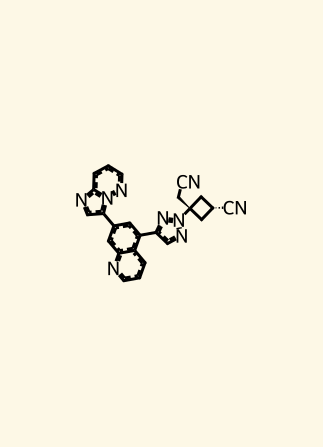 N#CC[C@]1(n2ncc(-c3cc(-c4cnc5cccnn45)cc4ncccc34)n2)C[C@@H](C#N)C1